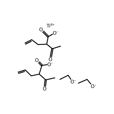 C=CCC(C(C)=O)C(=O)[O-].C=CCC(C(C)=O)C(=O)[O-].CC[O-].CC[O-].[Ti+4]